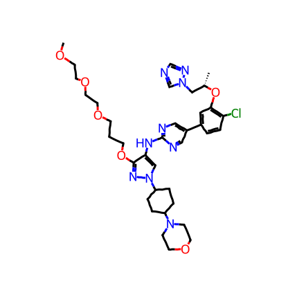 COCCOCCOCCCOc1nn(C2CCC(N3CCOCC3)CC2)cc1Nc1ncc(-c2ccc(Cl)c(O[C@@H](C)Cn3cncn3)c2)cn1